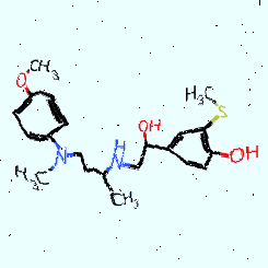 COc1ccc(N(C)CCC(C)NCC(O)c2ccc(O)c(SC)c2)cc1